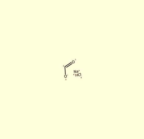 Cl.O=C[O-].[Na+]